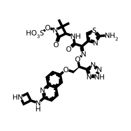 CC1(C)C(NC(=O)/C(=N\O[C@H](COc2ccc3nc(NC4CNC4)ccc3c2)c2nn[nH]n2)c2csc(N)n2)C(=O)N1OS(=O)(=O)O